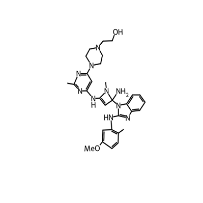 COc1ccc(C)c(Nc2nc3ccccc3n2C2(N)C=C(Nc3cc(N4CCN(CCO)CC4)nc(C)n3)N2C)c1